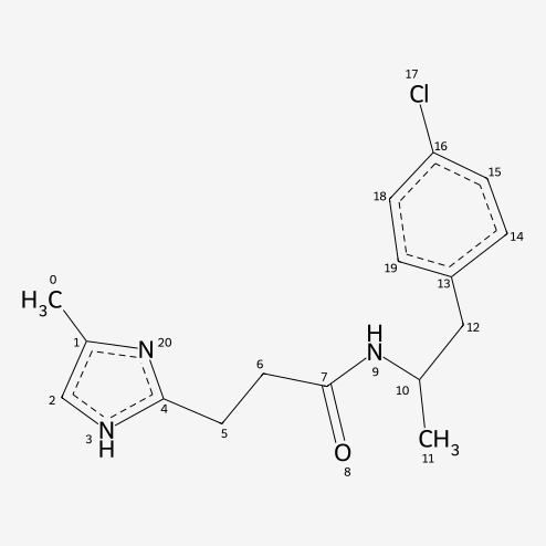 Cc1c[nH]c(CCC(=O)NC(C)Cc2ccc(Cl)cc2)n1